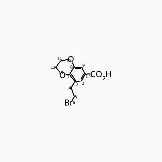 O=C(O)c1cc(CCBr)c2c(c1)OCCO2